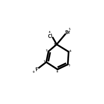 FC1=CC(Cl)(Br)C[C]=C1